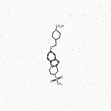 CS(=O)(=O)N1CCn2c(cc3cc(OCC4CCN(C(=O)O)CC4)ccc32)C1